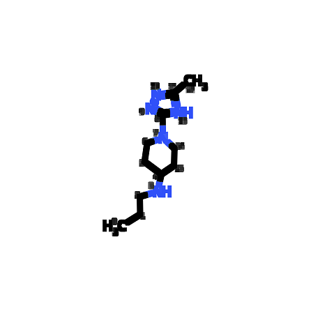 CCCNC1CCN(c2nnc(C)[nH]2)CC1